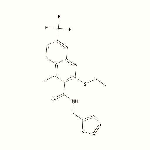 CCSc1nc2cc(C(F)(F)F)ccc2c(C)c1C(=O)NCc1cccs1